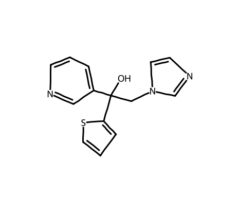 OC(Cn1ccnc1)(c1cccnc1)c1cccs1